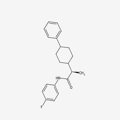 C[C@@H](C(=O)Nc1ccc(F)cc1)C1CCC(c2ccccc2)CC1